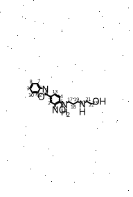 O=[N+]([O-])c1cc(-c2nc3ccccc3o2)ccc1NCCCNCCO